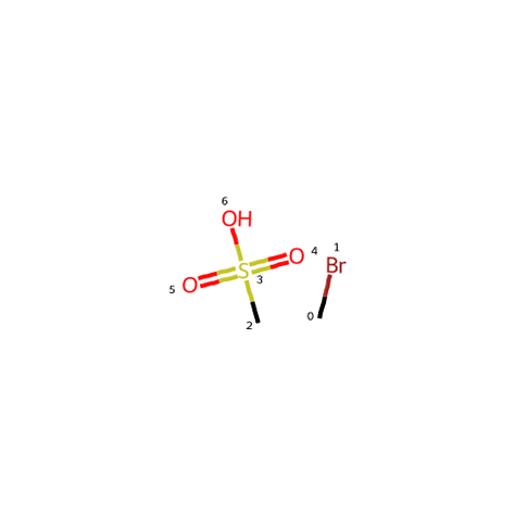 CBr.CS(=O)(=O)O